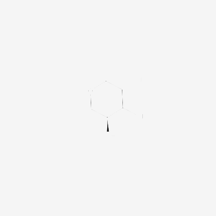 CC(C)[C@@H]1OC[C@H](O)C(O)[C@H]1O